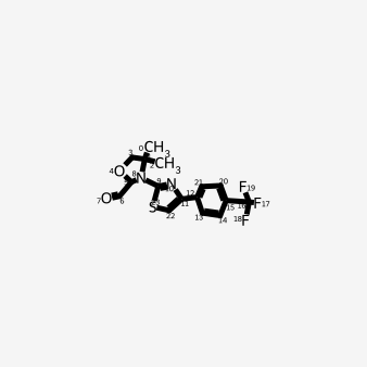 CC1(C)COC(C=O)N1c1nc(-c2ccc(C(F)(F)F)cc2)cs1